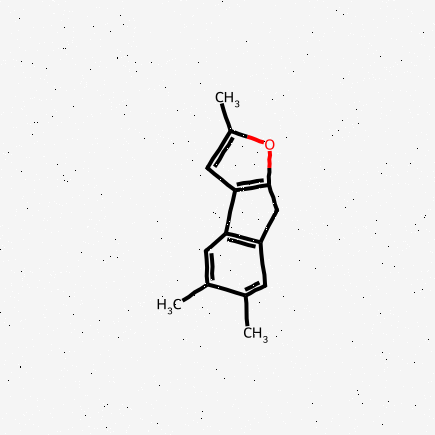 Cc1cc2c(o1)Cc1cc(C)c(C)cc1-2